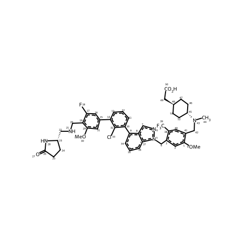 COc1cc(Cn2ncc3c(-c4cccc(-c5cc(F)c(CNC[C@@H]6CCC(=O)N6)c(OC)c5)c4Cl)cccc32)c(C(F)(F)F)cc1CN(C)[C@H]1CC[C@H](CC(=O)O)CC1